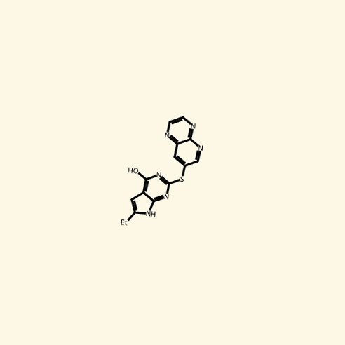 CCc1cc2c(O)nc(Sc3cnc4nccnc4c3)nc2[nH]1